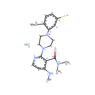 CCCNc1ccnc(N2CCN(c3cc(F)ccc3OC)CC2)c1C(=O)N(C)C.Cl